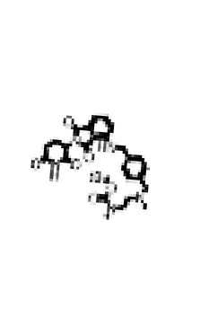 CN(CCN(C)C(=O)OC(C)(C)C)Cc1ccc(CNc2cccc3c2C(=O)N(C2CCC(=O)NC2=O)C3=O)cc1